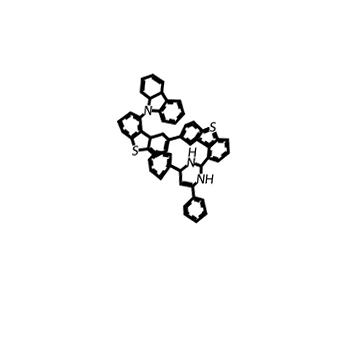 C1=CC2c3ccccc3N(c3cccc4c3C3CC(c5ccc6sc7cccc(C8NC(c9ccccc9)=CC(c9ccccc9)N8)c7c6c5)=CC=C3S4)C2C=C1